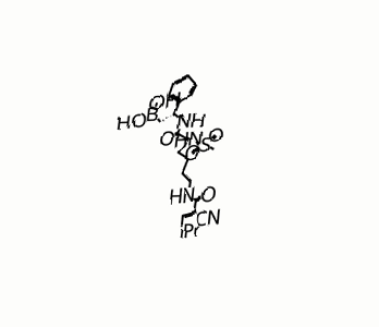 CC(C)C=C(C#N)C(=O)NCCCC[C@H](NS(C)(=O)=O)C(=O)N[C@H](CB(O)O)c1ccccc1